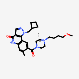 COCCCCN1CCN(C(=O)c2cc3c(cc2C)[nH]c(=O)c2cnn(CC4CCC4)c23)C[C@@H]1C